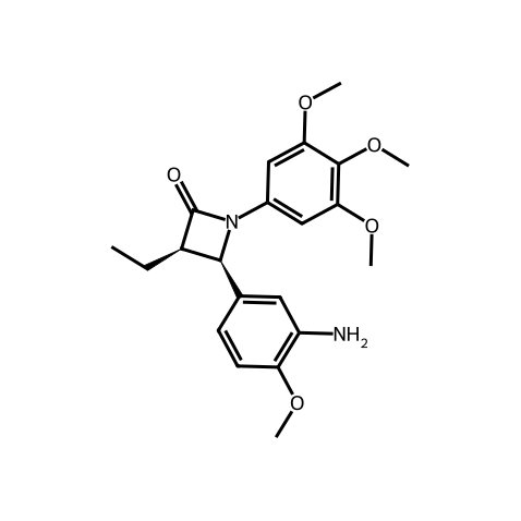 CC[C@H]1C(=O)N(c2cc(OC)c(OC)c(OC)c2)[C@H]1c1ccc(OC)c(N)c1